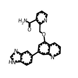 NC(=O)c1cccnc1COc1cc(-c2ccc3[nH]cnc3c2)cc2ncccc12